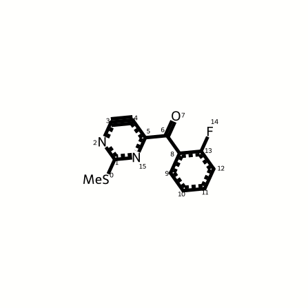 CSc1nc#cc(C(=O)c2ccccc2F)n1